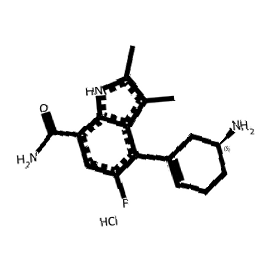 Cc1[nH]c2c(C(N)=O)cc(F)c(C3=CCC[C@H](N)C3)c2c1C.Cl